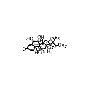 CC(=O)OCC(=O)[C@@]1(O)[C@H](OC(C)=O)C[C@H]2[C@@H]3[C@@H](O)[C@@H](O)C4=CC(=O)C=C[C@]4(C)[C@@]3(F)[C@@H](O)C[C@@]21C